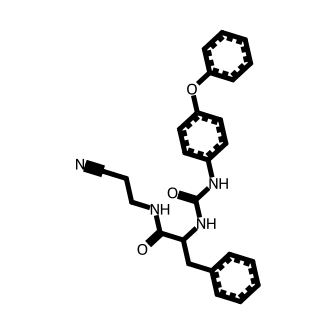 N#CCCNC(=O)C(Cc1ccccc1)NC(=O)Nc1ccc(Oc2ccccc2)cc1